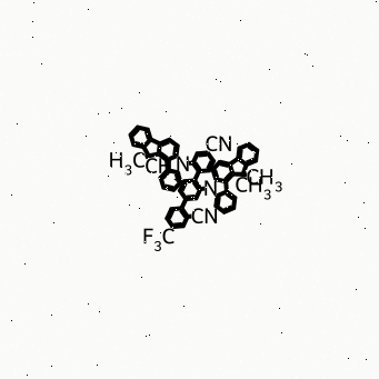 CC1(C)c2ccccc2-c2ccc3c(c21)c1ccccc1n3-c1cc(C#N)ccc1-c1ccc(-c2ccc(C(F)(F)F)cc2C#N)cc1-n1c2ccccc2c2c3c(ccc21)-c1ccccc1C3(C)C